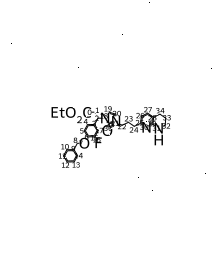 CCOC(=O)C[C@@H](c1ccc(OCc2ccccc2)c(F)c1)n1ccn(CCCc2ccc3c(n2)NCCC3)c1=O